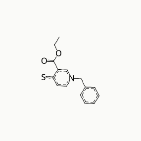 CCOC(=O)c1cn(Cc2ccccc2)ccc1=S